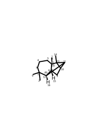 CC1(C)CCC[C@@]2(C)[C@@H]3CC4C([C@@H]31)C42C